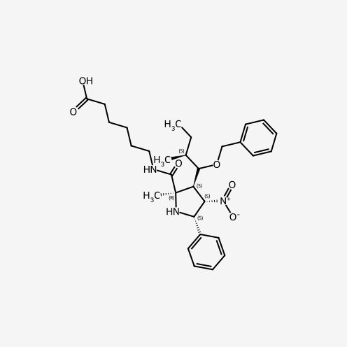 CC[C@H](C)C(OCc1ccccc1)[C@H]1[C@H]([N+](=O)[O-])[C@H](c2ccccc2)N[C@@]1(C)C(=O)NCCCCCC(=O)O